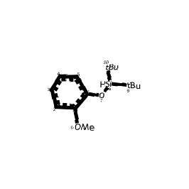 COc1ccccc1O[SiH](C(C)(C)C)C(C)(C)C